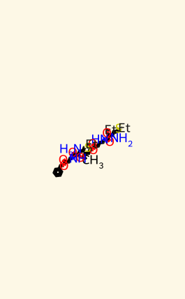 CCOC(C(=O)NCCCC(=O)OCCCC(C)OC(C(=O)NCCC(=O)OCc1ccccc1)[C@H](N)CCSCC)[C@H](N)CCSCC